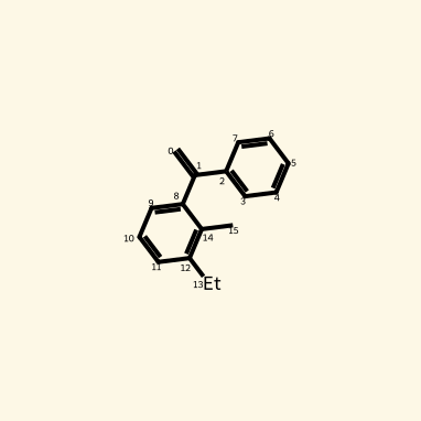 C=C(c1ccccc1)c1cccc(CC)c1C